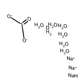 O.O.O.O.O.O.O.O=S([O-])[O-].[Na+].[Na+].[NaH]